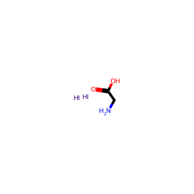 I.I.NCC(=O)O